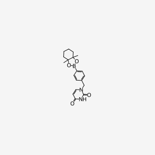 CC12CCCCC1(C)OB(c1ccc(Cn3ccc(=O)[nH]c3=O)cc1)O2